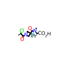 CC(C)[C@@H](C(=O)O)N(C)C(=O)C1(F)CN(C(=O)[C@@H](C)Cl)C1